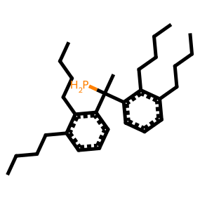 CCCCc1cccc(C(C)(P)c2cccc(CCCC)c2CCCC)c1CCCC